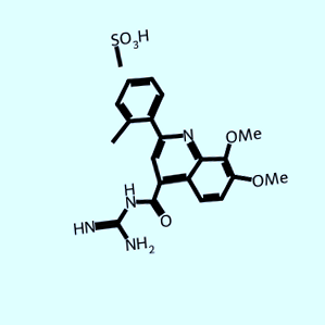 COc1ccc2c(C(=O)NC(=N)N)cc(-c3ccccc3C)nc2c1OC.CS(=O)(=O)O